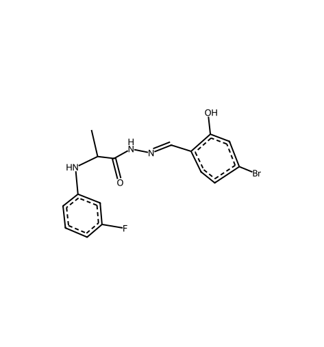 CC(Nc1cccc(F)c1)C(=O)NN=Cc1ccc(Br)cc1O